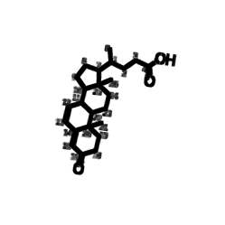 CC(CCC(=O)O)C1CCC2C3C=CC4=CC(=O)CCC4(C)C3CCC12C